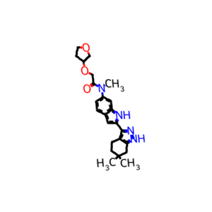 CN(C(=O)COC1CCOC1)c1ccc2cc(-c3n[nH]c4c3CCC(C)(C)C4)[nH]c2c1